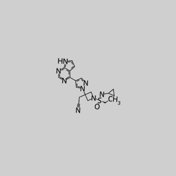 CC[S@](=O)(=NC1CC1)N1CC(CC#N)(n2cc(-c3ncnc4[nH]ccc34)cn2)C1